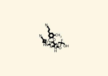 Cc1cc(/C=C/C#N)cc(C)c1Oc1nc(NC23CC(C#N)(C2)C3)nc2[nH]c(=O)n(CC(F)(F)CO)c12